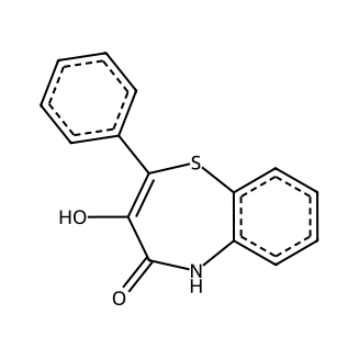 O=C1Nc2ccccc2SC(c2ccccc2)=C1O